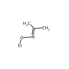 [CH2]C(C)=NOCC